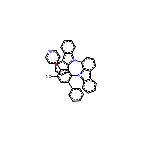 N#Cc1cc(-c2ccccc2)c(-n2c3ccccc3c3cccc(-n4c5ccccc5c5ccccc54)c32)cc1-c1ccncc1